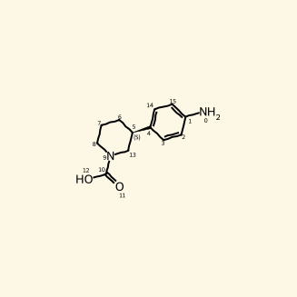 Nc1ccc([C@@H]2CCCN(C(=O)O)C2)cc1